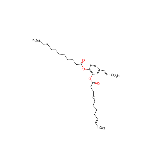 CCCCCCCC/C=C/CCCCCCCC(=O)Oc1ccc(/C=C/C(=O)O)cc1OC(=O)CCCCCCC/C=C/CCCCCCCC